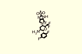 CS(=O)(=O)c1nc2c([nH]1)CN([C@@H]1C[C@H](N)[C@@H](c3cc(F)ccc3F)OC1C(F)(F)F)C2